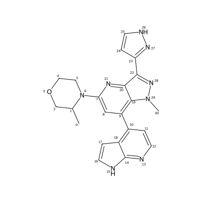 CC1COCCN1c1cc(-c2ccnc3[nH]ccc23)c2c(n1)c(-c1cc[nH]n1)nn2C